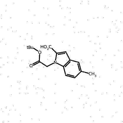 Cc1ccc2c(c1)cc(C(=O)O)n2CC(=O)OC(C)(C)C